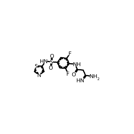 N=C(N)CC(=O)Nc1c(F)cc(S(=O)(=O)Nc2cncs2)cc1F